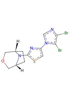 Brc1ncn(-c2csc(N3[C@@H]4CC[C@H]3COC4)n2)c1Br